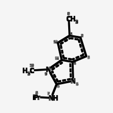 Cc1ccc2nc(NC(C)C)n(C)c2c1